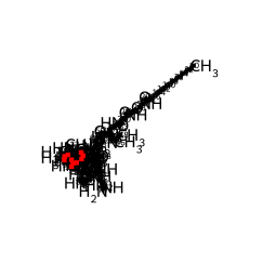 CCCCCCCCCCCCCCCCCCCC(=O)NCCOCCNC(=O)CCC(=O)NCCCC[C@H](NC(=O)[C@@H](N)[C@@H](C)CC)C(=O)N1CCN(c2ccc3ncn(CC(=O)N[C@@H](CCCNC(=N)N)C(=O)N[C@@H](Cc4c[nH]cn4)C(=O)N[C@@H](Cc4ccc(O)cc4)C(=O)N[C@@H](CC(C)C)C(=O)N[C@@H](CC(N)=O)C(=O)N[C@@H](Cc4c[nH]c5ccccc45)C(=O)N[C@H](C(=O)NC)C(C)C)c(=O)c3c2)CC1